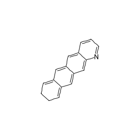 C1=c2cc3cc4cccnc4cc3cc2=CCC1